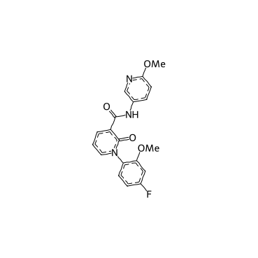 COc1ccc(NC(=O)c2cccn(-c3ccc(F)cc3OC)c2=O)cn1